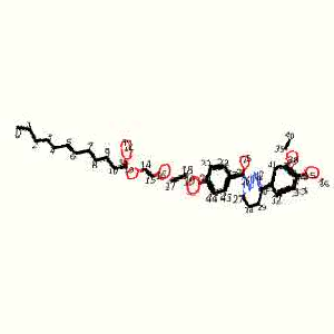 CCCCCCCCCCCC(=O)OCCOCCOc1ccc(C(=O)N2CCCC(c3ccc(OC)c(OCC)c3)=N2)cc1